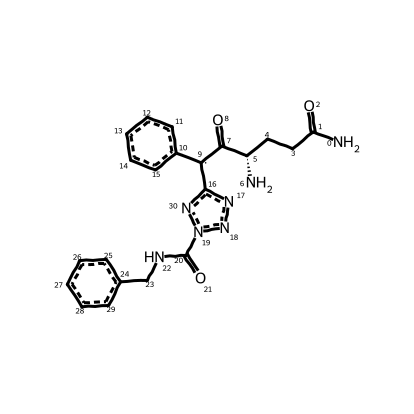 NC(=O)CC[C@H](N)C(=O)[C](c1ccccc1)c1nnn(C(=O)NCc2ccccc2)n1